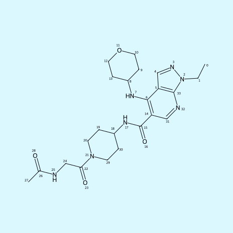 CCn1ncc2c(NC3CCOCC3)c(C(=O)NC3CCN(C(=O)CNC(C)=O)CC3)cnc21